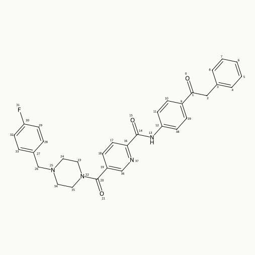 O=C(Cc1ccccc1)c1ccc(NC(=O)c2ccc(C(=O)N3CCN(Cc4ccc(F)cc4)CC3)cn2)cc1